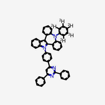 [2H]c1c([2H])c([2H])c(N2c3ccccc3-c3c(n(-c4ccc(-c5cc(-c6ccccc6)nc(-c6ccccc6)n5)cc4)c4ccccc34)-c3ccccc32)c([2H])c1[2H]